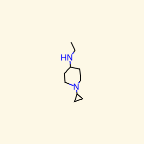 CCNC1CCN(C2CC2)CC1